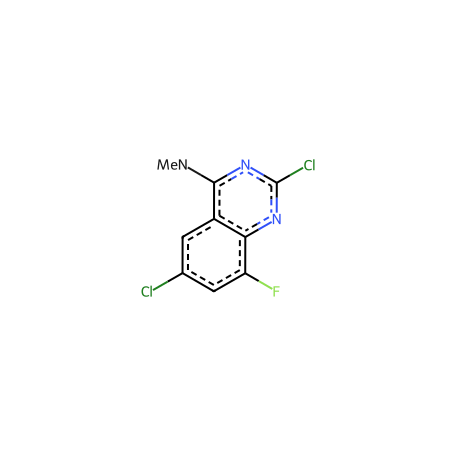 CNc1nc(Cl)nc2c(F)cc(Cl)cc12